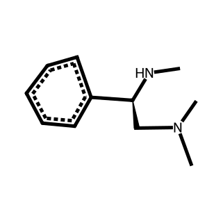 CN[C@@H](CN(C)C)c1ccccc1